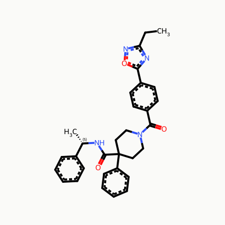 CCc1noc(-c2ccc(C(=O)N3CCC(C(=O)N[C@@H](C)c4ccccc4)(c4ccccc4)CC3)cc2)n1